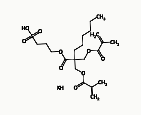 C=C(C)C(=O)OCC(CCCCCC)(COC(=O)C(=C)C)C(=O)OCCCS(=O)(=O)O.[KH]